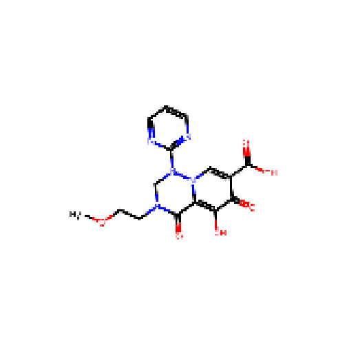 COCCN1CN(c2ncccn2)n2cc(C(=O)O)c(=O)c(O)c2C1=O